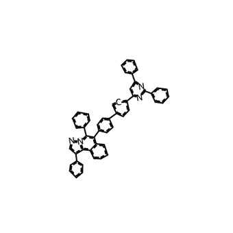 c1ccc(-c2cc(-c3ccc(-c4ccc(-c5c(-c6ccccc6)n6ncc(-c7ccccc7)c6c6ccccc56)cc4)cc3)nc(-c3ccccc3)n2)cc1